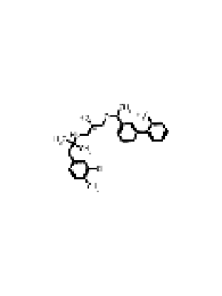 Cc1ccc(CC(C)(C)NC[C@@H](O)COC(C)c2cccc(-c3ccccc3C)c2)cc1Cl